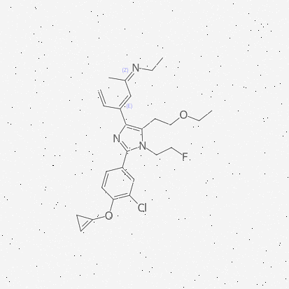 C=C/C(=C\C(C)=N/CC)c1nc(-c2ccc(OC3=CC3)c(Cl)c2)n(CCF)c1CCOCC